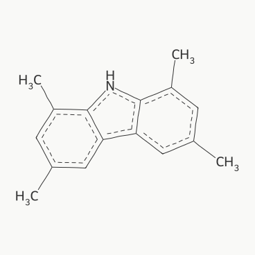 Cc1cc(C)c2[nH]c3c(C)cc(C)cc3c2c1